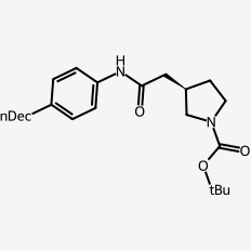 CCCCCCCCCCc1ccc(NC(=O)C[C@H]2CCN(C(=O)OC(C)(C)C)C2)cc1